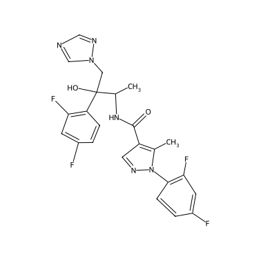 Cc1c(C(=O)NC(C)C(O)(Cn2cncn2)c2ccc(F)cc2F)cnn1-c1ccc(F)cc1F